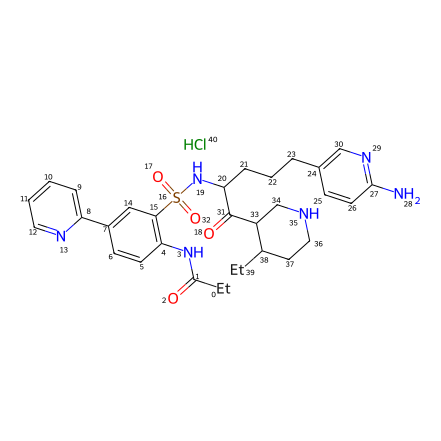 CCC(=O)Nc1ccc(-c2ccccn2)cc1S(=O)(=O)NC(CCCc1ccc(N)nc1)C(=O)C1CNCCC1CC.Cl